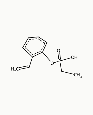 C=Cc1ccccc1OP(=O)(O)CC